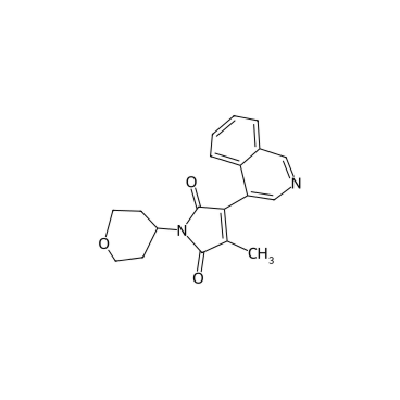 CC1=C(c2cncc3ccccc23)C(=O)N(C2CCOCC2)C1=O